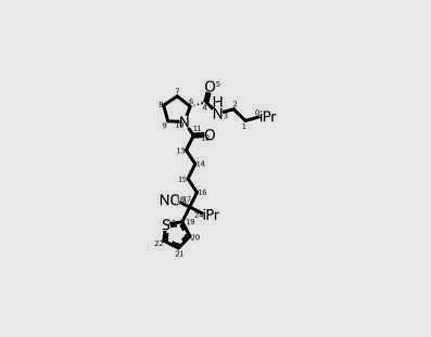 CC(C)CCNC(=O)[C@H]1CCCN1C(=O)CCCCC(C#N)(c1cccs1)C(C)C